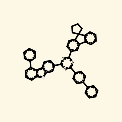 c1ccc(-c2ccc(-c3nc(-c4ccc5c(c4)-c4ccccc4C54CCCC4)nc(-c4ccc5c(c4)oc4cccc(-c6ccccc6)c45)n3)cc2)cc1